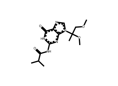 COCC(C)(OC)n1cnc2c(=O)[nH]c(NC(=O)C(C)C)nc21